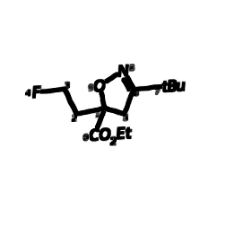 CCOC(=O)C1(CCF)CC(C(C)(C)C)=NO1